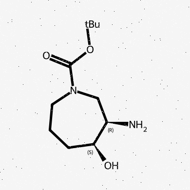 CC(C)(C)OC(=O)N1CCC[C@H](O)[C@H](N)C1